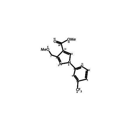 COCc1nn(-c2cc(C(F)(F)F)ccn2)cc1C(=O)OC